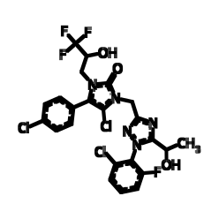 CC(O)c1nc(Cn2c(Cl)c(-c3ccc(Cl)cc3)n(CC(O)C(F)(F)F)c2=O)nn1-c1c(F)cccc1Cl